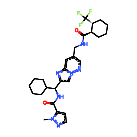 Cn1nccc1C(=O)N[C@H](c1cn2ncc(CNC(=O)[C@@H]3CCCC[C@H]3C(F)(F)F)cc2n1)C1CCCCC1